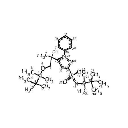 CC(O)(CO[Si](C)(C)C(C)(C)C)c1cc(S(=O)(Cl)=N[Si](C)(C)C(C)(C)C)nn1-c1ccccc1